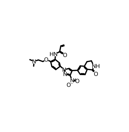 C=CC(=O)Nc1cc(-n2cc(-c3ccc4c(c3)CCNC4=O)c([N+](=O)[O-])n2)ccc1OCCN(C)C